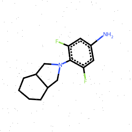 Nc1cc(F)c(N2CC3CCCCC3C2)c(F)c1